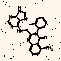 Cc1ccccc1-n1c(CNc2ncnc3[nH]cnc23)nc2cccc(P)c2c1=O